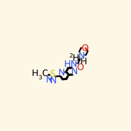 [2H]C([2H])(C(=O)Nc1cc2nc(-c3nnc(C)s3)ccc2cn1)N1CCOCC1